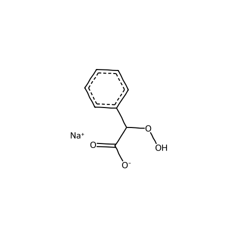 O=C([O-])C(OO)c1ccccc1.[Na+]